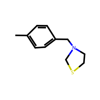 Cc1ccc(CN2CCSC2)cc1